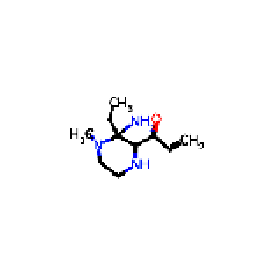 C=CC(=O)C1NCCN(C)C1(N)CC